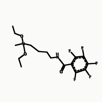 CCO[Si](C)(CCCCNC(=O)c1c(F)c(F)c(F)c(F)c1F)OCC